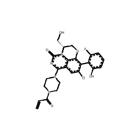 C=CC(=O)N1CCN(c2nc(=O)n3c4c(c(-c5c(O)cccc5F)c(Cl)cc24)OC[C@H]3CO)CC1